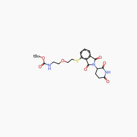 CC(C)(C)OC(=O)NCCOCCSc1cccc2c1C(=O)N(C1CCC(=O)NC1=O)C2=O